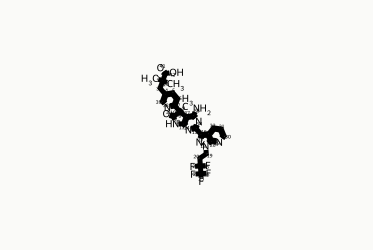 CC(C)(Cc1ccc(C2(C)C(=O)Nc3nc(-c4nn(CCC(F)(F)C(F)(F)F)c5ncccc45)nc(N)c32)nc1)C(=O)O